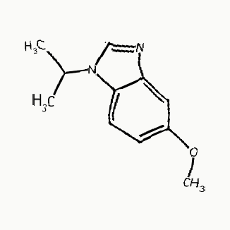 COc1ccc2c(c1)n[c]n2C(C)C